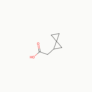 O=C(O)CC1CC12CC2